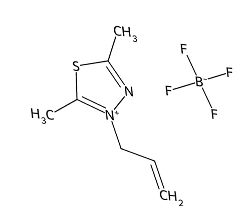 C=CC[n+]1nc(C)sc1C.F[B-](F)(F)F